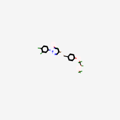 O=c1c(Cl)c(SCc2ccc(OC(F)(F)C(F)OC(F)(F)F)cc2)cnn1-c1ccc(Cl)c(Cl)c1